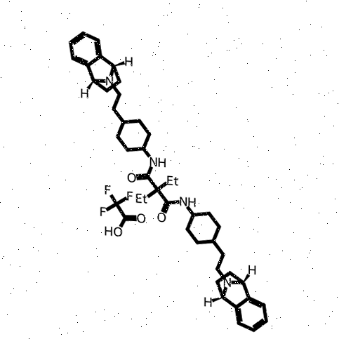 CCC(CC)(C(=O)NC1CCC(CCN2[C@@H]3CC[C@H]2c2ccccc23)CC1)C(=O)NC1CCC(CCN2[C@@H]3CC[C@H]2c2ccccc23)CC1.O=C(O)C(F)(F)F